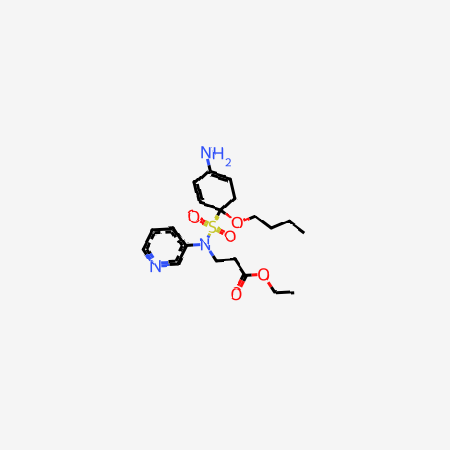 CCCCOC1(S(=O)(=O)N(CCC(=O)OCC)c2cccnc2)C=CC(N)=CC1